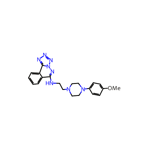 COc1ccc(N2CCN(CCNc3nn4nnnc4c4ccccc34)CC2)cc1